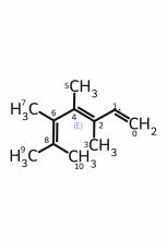 C=[C]/C(C)=C(\C)C(C)=C(C)C